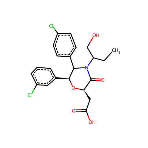 CCC(CO)N1C(=O)[C@@H](CC(=O)O)O[C@@H](c2cccc(Cl)c2)C1c1ccc(Cl)cc1